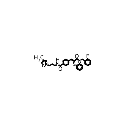 Cc1cnn(CCCNC(=O)c2ccc(/C=C3\Sc4ccccc4N(Cc4ccccc4F)C3=O)cc2)c1